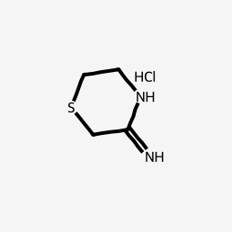 Cl.N=C1CSCCN1